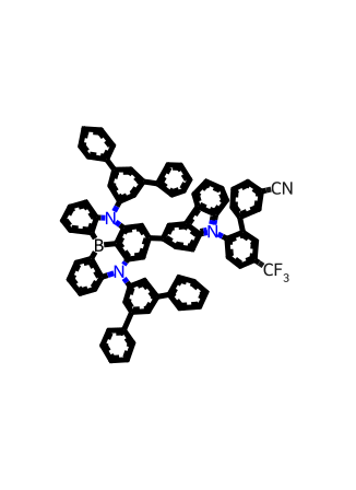 N#Cc1cccc(-c2cc(C(F)(F)F)ccc2-n2c3ccccc3c3cc(-c4cc5c6c(c4)N(c4cc(-c7ccccc7)cc(-c7ccccc7)c4)c4ccccc4B6c4ccccc4N5c4cc(-c5ccccc5)cc(-c5ccccc5)c4)ccc32)c1